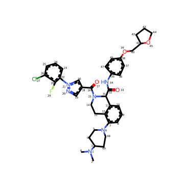 CN(C)C1CCN(c2cccc3c2CCN(C(=O)c2cnn(-c4cccc(Cl)c4F)c2)C3C(=O)Nc2ccc(OCC3CCCO3)cc2)CC1